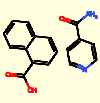 NC(=O)c1ccncc1.O=C(O)c1cccc2ccccc12